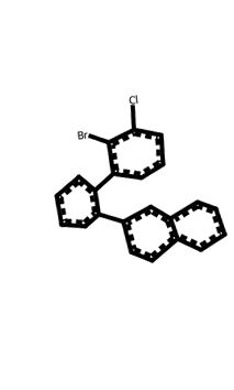 Clc1cccc(-c2ccccc2-c2ccc3ccccc3c2)c1Br